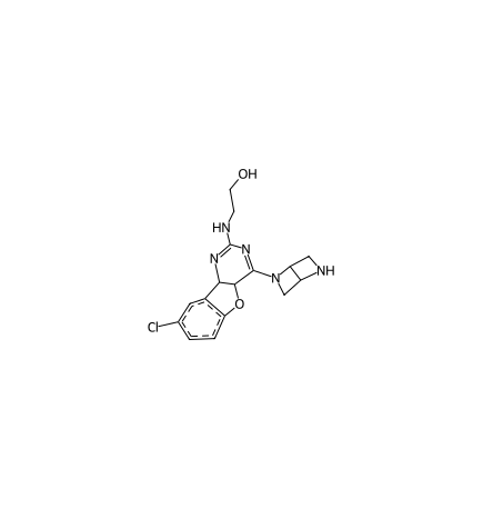 OCCNC1=NC2c3cc(Cl)ccc3OC2C(N2CC3NCC32)=N1